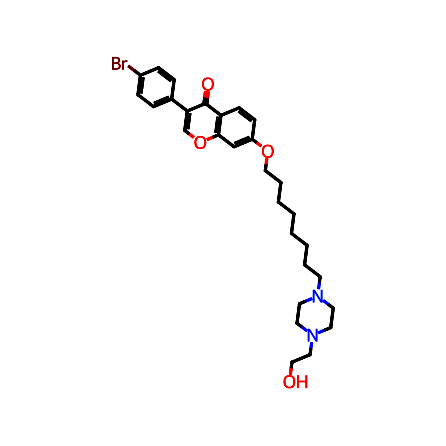 O=c1c(-c2ccc(Br)cc2)coc2cc(OCCCCCCCCN3CCN(CCO)CC3)ccc12